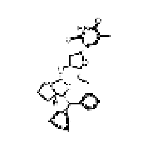 CC[C@H]1O[C@@H](n2cc(C)c(=O)[nH]c2=O)CC1O[P@@]1O[C@H](C(c2ccccc2)c2ccccc2)[C@@H]2CCCN21